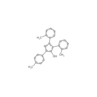 Cc1ccc(-c2nn(-c3ccccc3C)c(-c3ccccc3C)c2O)cc1